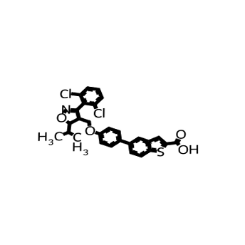 CC(C)C1ON=C(c2c(Cl)cccc2Cl)C1COc1ccc(-c2ccc3sc(C(=O)O)cc3c2)cc1